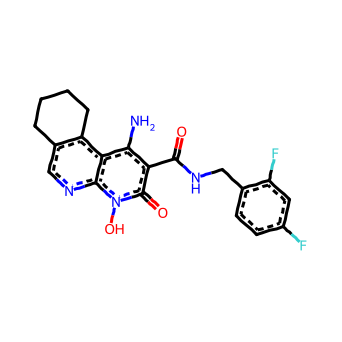 Nc1c(C(=O)NCc2ccc(F)cc2F)c(=O)n(O)c2ncc3c(c12)CCCC3